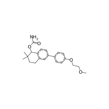 COCCOc1ccc(-c2ccc3c(c2)CCC(C)(C)C3OC(N)=O)cc1